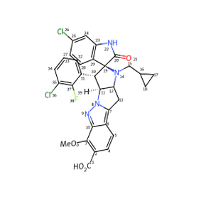 COc1c(C(=O)O)ccc2c3n(nc12)[C@@H]1C(C3)N(CC2CC2)[C@@]2(C(=O)Nc3cc(Cl)ccc32)[C@H]1c1cccc(Cl)c1F